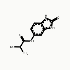 CC(C#N)C(=O)Nc1ccc2[nH]c(=O)[nH]c2c1